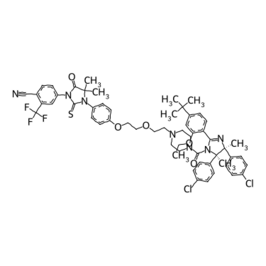 CCOc1cc(C(C)(C)C)ccc1C1=N[C@@](C)(c2ccc(Cl)cc2)[C@@](C)(c2ccc(Cl)cc2)N1C(=O)N1CCN(CCOCCOc2ccc(N3C(=S)N(c4ccc(C#N)c(C(F)(F)F)c4)C(=O)C3(C)C)cc2)CC1